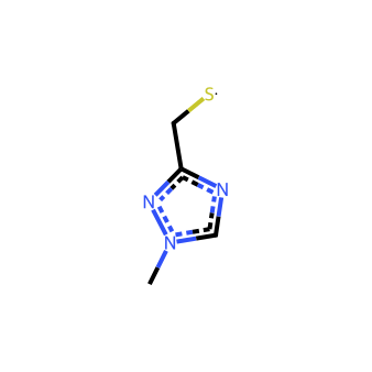 Cn1cnc(C[S])n1